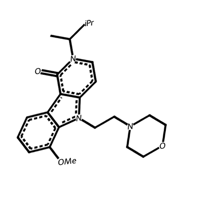 COc1cccc2c3c(=O)n(C(C)C(C)C)ccc3n(CCN3CCOCC3)c12